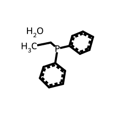 CCP(c1ccccc1)c1ccccc1.O